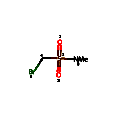 CNS(=O)(=O)CBr